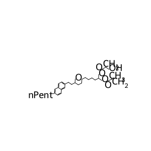 C=C(C)C(=O)OCC(CCCCC1CCC(CCc2ccc3cc(CCCCC)ccc3c2)CO1)COC(=O)C(=C)CO